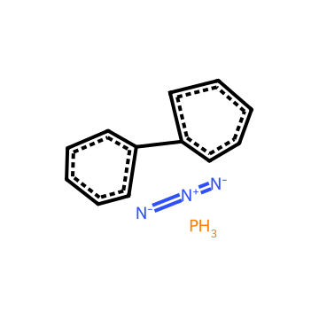 P.[N-]=[N+]=[N-].c1ccc(-c2ccccc2)cc1